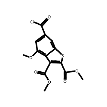 COC(=O)c1sc2cc(C(=O)Cl)cc(OC)c2c1C(=O)OC